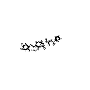 Cc1c[nH]c(=O)nc1SCC1=C(C(=O)O)N2C(=O)C(NC(=O)C[S+]([O-])c3cccs3)[C@@H]2SC1